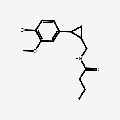 CCCC(=O)NCC1CC1c1ccc(Cl)c(OC)c1